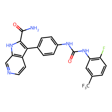 NC(=O)c1[nH]c2cnccc2c1-c1ccc(NC(=O)Nc2cc(C(F)(F)F)ccc2F)cc1